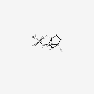 CC1(C)[C@H]2CC[C@]1(C)[C@H](OS(N)(=O)=O)C2